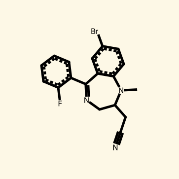 CN1c2ccc(Br)cc2C(c2ccccc2F)=NCC1CC#N